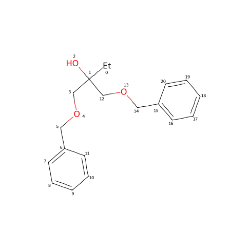 CCC(O)(COCc1ccccc1)COCc1ccccc1